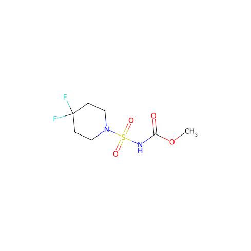 COC(=O)NS(=O)(=O)N1CCC(F)(F)CC1